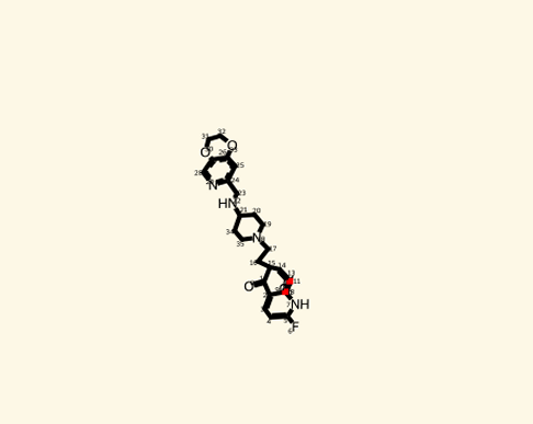 O=C1C2=CC=C(F)NC23OCCOC3=CC1CCN1CCC(NCc2cc3c(cn2)OCCO3)CC1